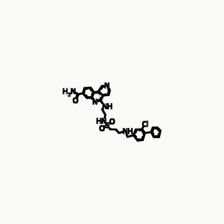 NC(=O)c1ccc2c(c1)nc(NCCNS(=O)(=O)CCCNCc1ccc(-c3ccccc3)c(Cl)c1)c1ccncc12